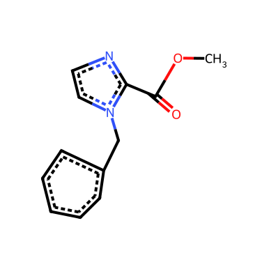 COC(=O)c1nccn1Cc1ccccc1